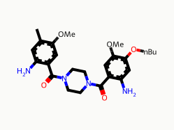 CCCCOc1cc(N)c(C(=O)N2CCN(C(=O)c3cc(OC)c(C)cc3N)CC2)cc1OC